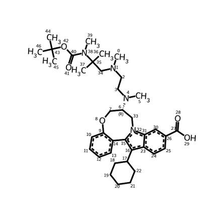 CN(CCN(C)[C@H]1COc2ccccc2-c2c(C3CCCCC3)c3ccc(C(=O)O)cc3n2C1)CC(C)(C)N(C)C(=O)OC(C)(C)C